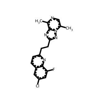 Cc1ncc(C)n2nc(CCc3ccc4cc(Cl)cc(F)c4n3)nc12